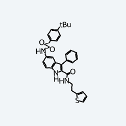 CC(C)(C)c1ccc(S(=O)(=O)Nc2ccc3[nH]c(C(=O)NCCc4cccs4)c(-c4ccccc4)c3c2)cc1